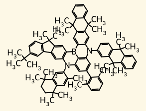 Cc1cc2c(cc1N1c3cc4c(cc3B3c5cc6c(cc5N(c5ccc7c(c5)C(C)(C)c5ccccc5C7(C)C)c5cc(-c7c(C)cccc7C)cc1c53)C(C)(C)c1ccccc1C6(C)C)C(C)(C)c1ccc(C(C)(C)C)cc1-4)C(C)(C)CCC2(C)C